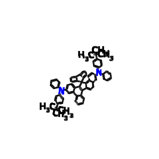 CC(C)(C)c1ccc(N(c2ccccc2)c2ccc3c4c(ccc3c2)-c2c(c3ccc(N(c5ccccc5)c5ccc(C(C)(C)C)cc5)cc3c3ccccc23)C42c3ccccc3-c3ccccc32)cc1